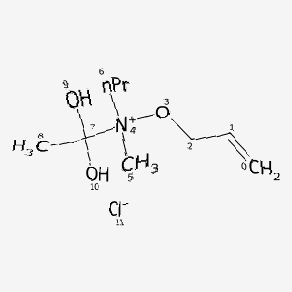 C=CCO[N+](C)(CCC)C(C)(O)O.[Cl-]